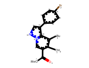 CCC(C)c1c(C)c(C(=O)OC)cn2ncc(-c3ccc(Br)cc3)c12